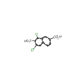 O=C(O)c1ccc2cc(Cl)c(C(=O)O)c(Cl)c2c1